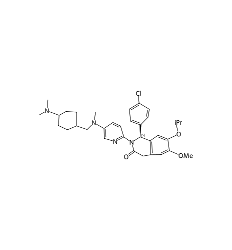 COc1cc2c(cc1OC(C)C)[C@H](c1ccc(Cl)cc1)N(c1ccc(N(C)CC3CCC(N(C)C)CC3)cn1)C(=O)C2